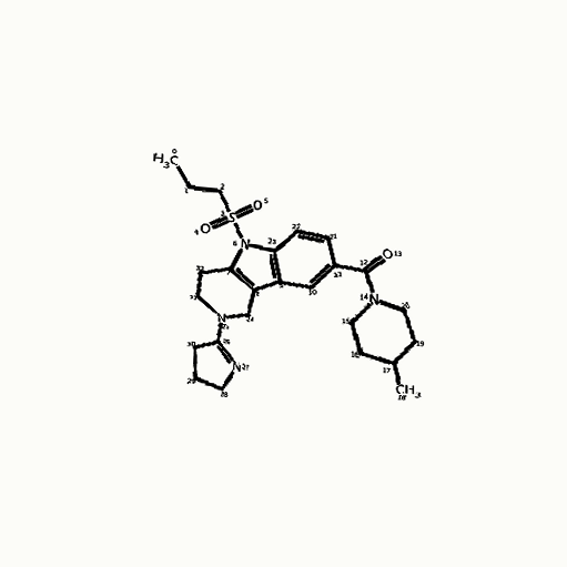 CCCS(=O)(=O)n1c2c(c3cc(C(=O)N4CCC(C)CC4)ccc31)CN(C1=NCCC1)CC2